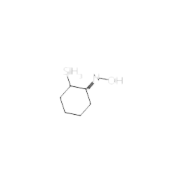 ON=C1CCCCC1[SiH3]